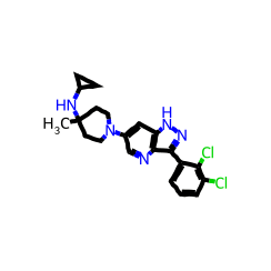 CC1(NC2CC2)CCN(c2cnc3c(-c4cccc(Cl)c4Cl)n[nH]c3c2)CC1